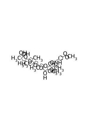 CCC1(C2OC(C3OC(O)(CO)C(C)CC3C)CC2C)CCC(C2(C)CCC3(CC(O)C(C)C(C(C)C(OC)C(C)C(=O)NCc4ccc(C(=O)OC)cc4)O3)O2)O1